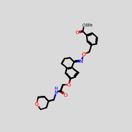 COC(=O)c1cccc(CON=C2CCCc3cc(OCC(=O)NCC4CCOCC4)ccc32)c1